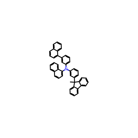 CC1(c2cccc(N(c3cccc(-c4cccc5ccccc45)c3)c3cccc4ccccc34)c2)c2ccccc2-c2ccccc21